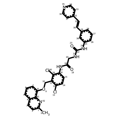 Cc1ccc2cccc(OCc3c(Cl)ccc(NC(=O)CNC(=O)Nc4cccc(C=Cc5ccncc5)c4)c3Cl)c2n1